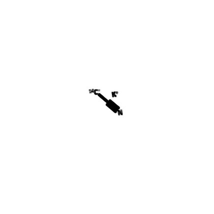 [14CH2-]C#N.[K+]